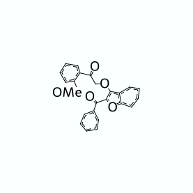 COc1ccccc1C(=O)COc1c(C(=O)c2ccccc2)oc2ccccc12